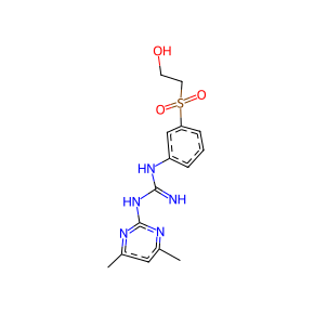 Cc1cc(C)nc(NC(=N)Nc2cccc(S(=O)(=O)CCO)c2)n1